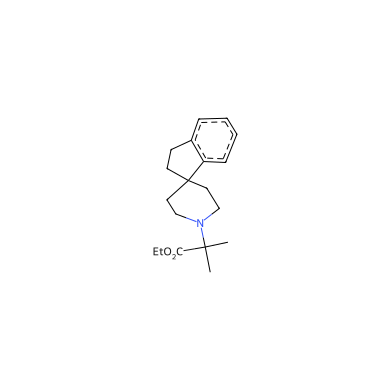 CCOC(=O)C(C)(C)N1CCC2(CCc3ccccc32)CC1